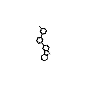 Cc1cccc(-c2cccc(-c3ccc4sc5c(c4c3)C=CCC5)c2)c1